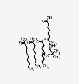 CC(C)(C)CO.CCCCCCCC(=O)O.CCCCCCCC(=O)O.CCCCCCCC(=O)O.CCCCCCCC(=O)O